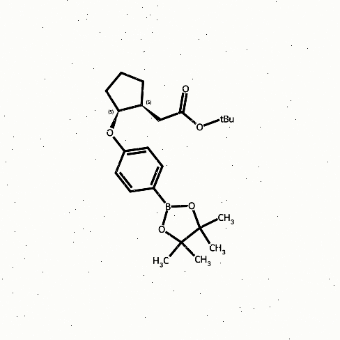 CC(C)(C)OC(=O)C[C@@H]1CCC[C@@H]1Oc1ccc(B2OC(C)(C)C(C)(C)O2)cc1